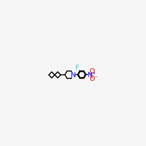 O=[N+]([O-])c1ccc(N2CCC(C3CC4(CCC4)C3)CC2)c(F)c1